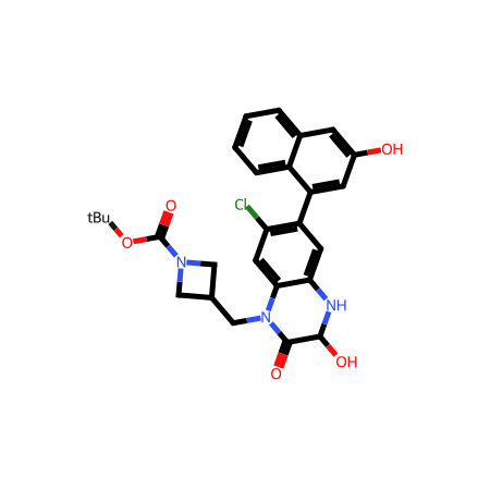 CC(C)(C)OC(=O)N1CC(CN2C(=O)C(O)Nc3cc(-c4cc(O)cc5ccccc45)c(Cl)cc32)C1